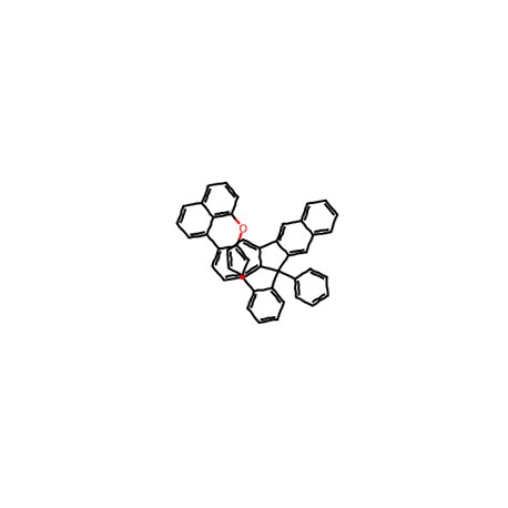 c1ccc(C2(c3ccccc3-c3ccc4c(c3)Oc3cccc5cccc-4c35)c3ccccc3-c3cc4ccccc4cc32)cc1